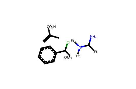 C=C(C)C(=O)O.CCC(N)N(CC)CC.COC(Cl)c1ccccc1